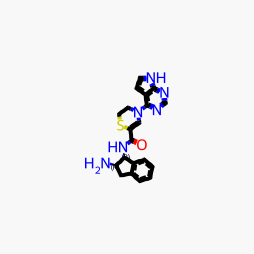 N[C@@H]1Cc2ccccc2[C@H]1NC(=O)C1=CN(c2ncnc3[nH]ccc23)CCS1